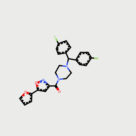 O=C(c1cc(-c2ccco2)on1)N1CCN(C(c2ccc(F)cc2)c2ccc(F)cc2)CC1